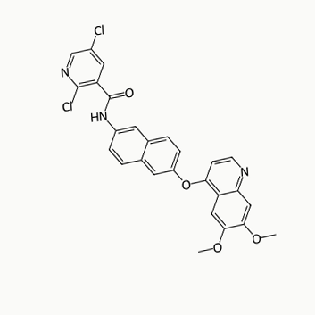 COc1cc2nccc(Oc3ccc4cc(NC(=O)c5cc(Cl)cnc5Cl)ccc4c3)c2cc1OC